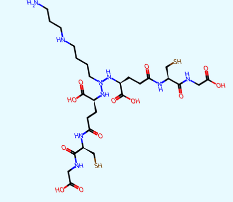 NCCCNCCCCN(N[C@@H](CCC(=O)N[C@@H](CS)C(=O)NCC(=O)O)C(=O)O)N[C@@H](CCC(=O)N[C@@H](CS)C(=O)NCC(=O)O)C(=O)O